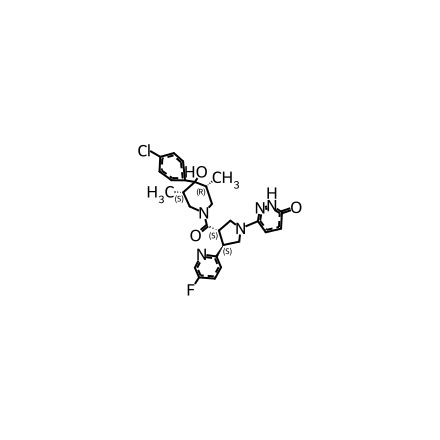 C[C@@H]1CN(C(=O)[C@@H]2CN(c3ccc(=O)[nH]n3)C[C@H]2c2ccc(F)cn2)C[C@H](C)C1(O)c1ccc(Cl)cc1